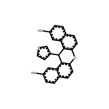 Oc1ccc2ccc3c(c2c1)C(c1ccsc1)c1c(ccc2ccc(O)cc12)O3